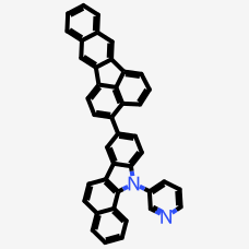 c1cncc(-n2c3ccc(-c4ccc5c6c(cccc46)-c4cc6ccccc6cc4-5)cc3c3ccc4ccccc4c32)c1